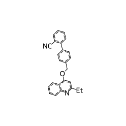 CCc1cc(OCc2ccc(-c3ccccc3C#N)cc2)c2ccccc2n1